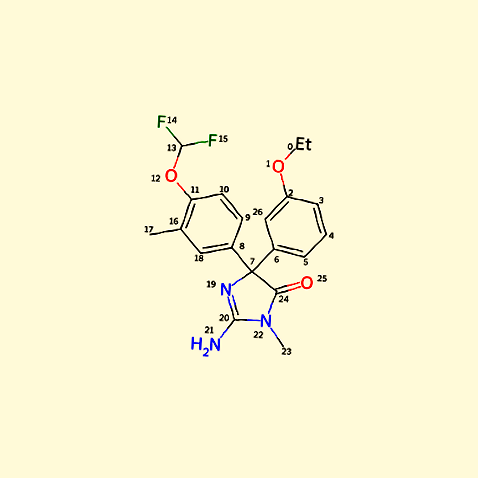 CCOc1cccc(C2(c3ccc(OC(F)F)c(C)c3)N=C(N)N(C)C2=O)c1